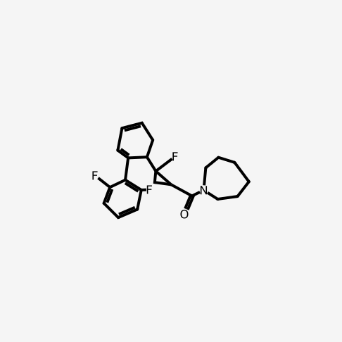 O=C(C1CC1(F)C1CC=CC=C1c1c(F)cccc1F)N1CCCCCC1